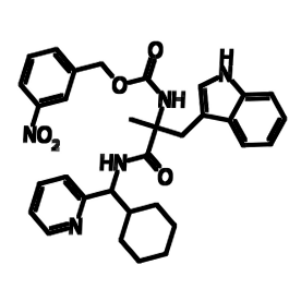 CC(Cc1c[nH]c2ccccc12)(NC(=O)OCc1cccc([N+](=O)[O-])c1)C(=O)NC(c1ccccn1)C1CCCCC1